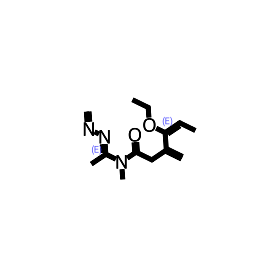 C=N/N=C(\C)N(C)C(=O)CC(=C)/C(=C\C)OCC